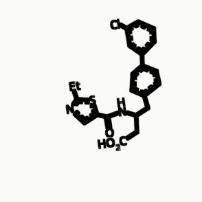 CCc1ncc(C(=O)NC(CC(=O)O)Cc2ccc(-c3cccc(Cl)c3)cc2)s1